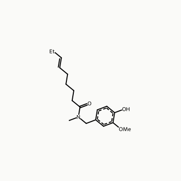 CCC=CCCCCC(=O)N(C)Cc1ccc(O)c(OC)c1